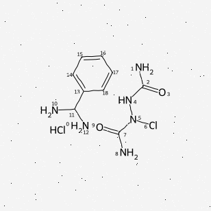 Cl.NC(=O)NN(Cl)C(N)=O.NC(N)c1ccccc1